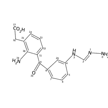 NN=CNc1cccc(C(=O)c2cccc(CC(=O)O)c2N)c1